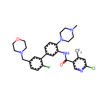 CN1CCN(c2ccc(-c3cc(CN4CCOCC4)ccc3F)cc2NC(=O)c2cnc(Cl)cc2C(F)(F)F)CC1